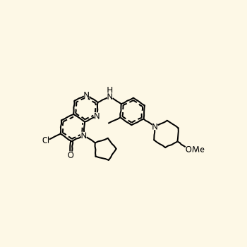 COC1CCN(c2ccc(Nc3ncc4cc(Cl)c(=O)n(C5CCCC5)c4n3)c(C)c2)CC1